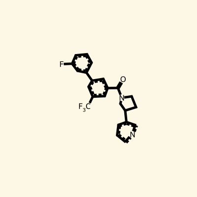 O=C(c1cc(-c2cccc(F)c2)cc(C(F)(F)F)c1)N1CCC(c2cccnc2)C1